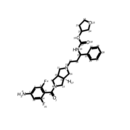 Nc1cc(F)c(C(=O)N2CC3CN(CCC(NC(=O)OC4CCOC4)c4ccccc4)C[C@H]3C2)c(F)c1